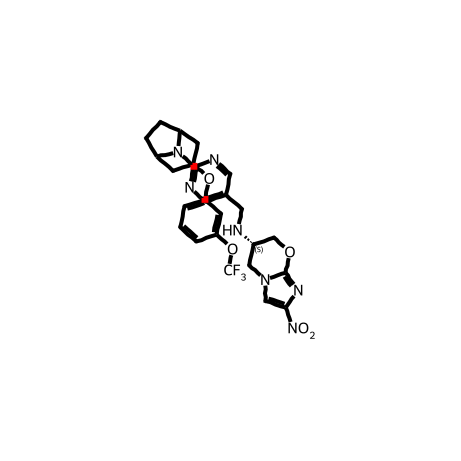 O=[N+]([O-])c1cn2c(n1)OC[C@@H](NCc1cnc(N3C4CCC3CC(Oc3cccc(OC(F)(F)F)c3)C4)nc1)C2